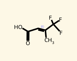 C/C(=C\C(=O)O)C(F)(F)F